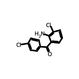 Nc1c(Cl)cccc1C(=O)c1ccc(Cl)cc1